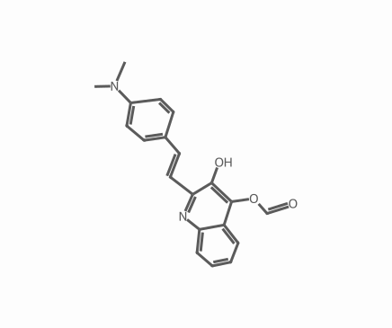 CN(C)c1ccc(/C=C/c2nc3ccccc3c(OC=O)c2O)cc1